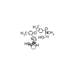 Cc1ccc(OCc2ccc(C(=O)N(C)CC3(CO)CC3)cc2C)c(-c2csc(N3C[C@H]4CCC[C@@H](C3)[C@H]4C(=O)O)n2)c1